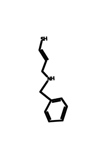 SC=CCNCc1ccccc1